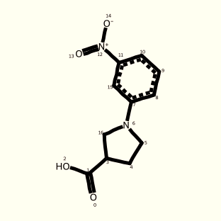 O=C(O)C1CCN(c2cccc([N+](=O)[O-])c2)C1